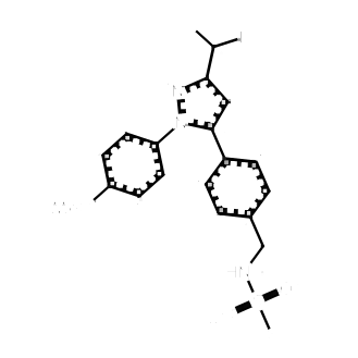 COc1ccc(-n2nc(C(F)F)cc2-c2ccc(CNS(C)(=O)=O)cc2)cc1